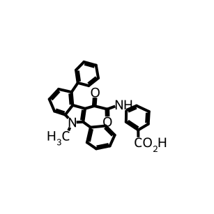 Cn1c(-c2ccccc2)c(C(=O)C(=O)Nc2cccc(C(=O)O)c2)c2c(-c3ccccc3)cccc21